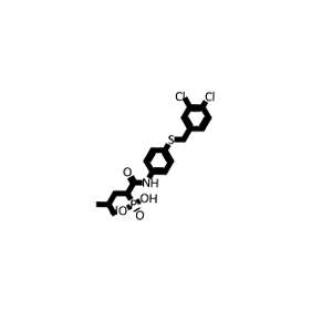 CC(C)CC(C(=O)Nc1ccc(SCc2ccc(Cl)c(Cl)c2)cc1)P(=O)(O)O